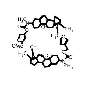 CC1C2CCC3C4CC=C5CC(N(C)C(=O)OCc6ccoc6)CCC5(C)C4CCC32CN1C.COC1CC(OC(=O)N(C)C2CCC3(C)C(=CCC4C3CCC35CN(C)C(C)C3CCC45)C2)CO1